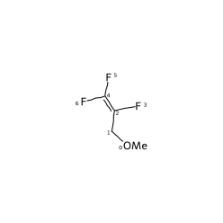 [CH2]OCC(F)=C(F)F